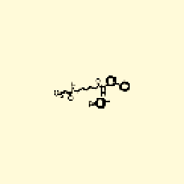 Cc1ccc(F)cc1.O=S=CC(=O)NCCCCCC(=O)Nc1cccc(-c2ccccc2)c1